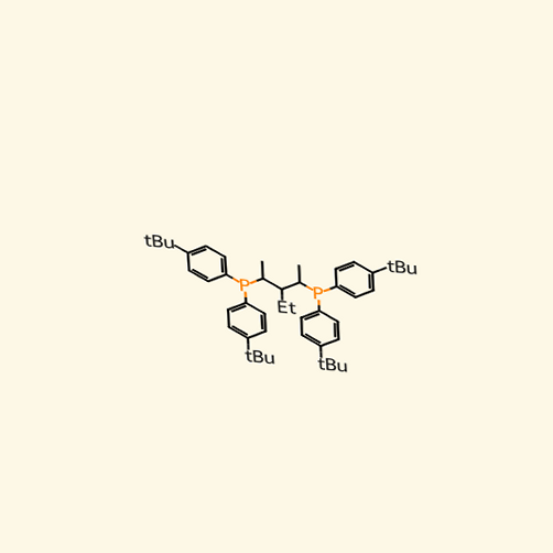 CCC(C(C)P(c1ccc(C(C)(C)C)cc1)c1ccc(C(C)(C)C)cc1)C(C)P(c1ccc(C(C)(C)C)cc1)c1ccc(C(C)(C)C)cc1